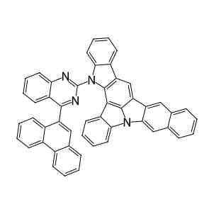 c1ccc2cc3c(cc2c1)c1cc2c4ccccc4n(-c4nc(-c5cc6ccccc6c6ccccc56)c5ccccc5n4)c2c2c4ccccc4n3c12